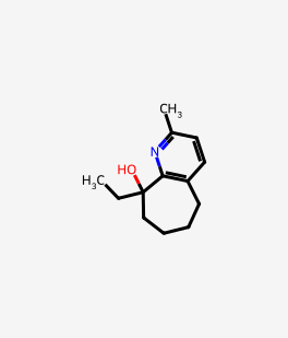 CCC1(O)CCCCc2ccc(C)nc21